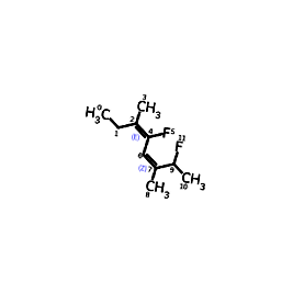 CC/C(C)=C(F)\C=C(\C)C(C)F